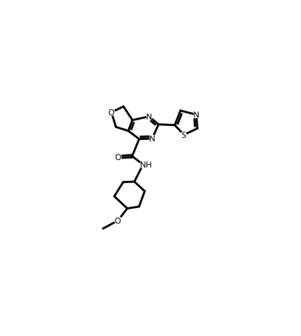 COC1CCC(NC(=O)c2nc(-c3cncs3)nc3c2COC3)CC1